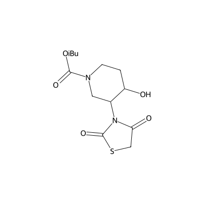 CC(C)COC(=O)N1CCC(O)C(N2C(=O)CSC2=O)C1